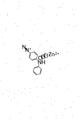 N#[N+]c1ccc(Nc2ccccc2)cc1.[Cl-].[Cl-].[Cl-].[Zn+2]